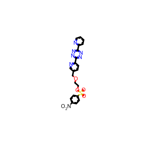 O=[N+]([O-])c1ccc(S(=O)(=O)OCCOCc2ccc(-c3nnc(-c4ccccn4)nn3)nc2)cc1